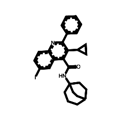 O=C(NC12CCCC(CC1)CC2)c1c(C2CC2)c(-c2ccccc2)nc2ccc(I)cc12